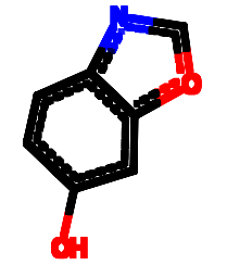 Oc1ccc2ncoc2c1